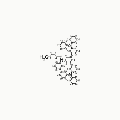 C=C/C=C\C=C\N(c1cccc(-c2cccc(N(c3ccccc3)c3ccccc3)c2)c1)c1cccc(-c2cccc(N(c3ccccc3)c3ccccc3)c2)c1